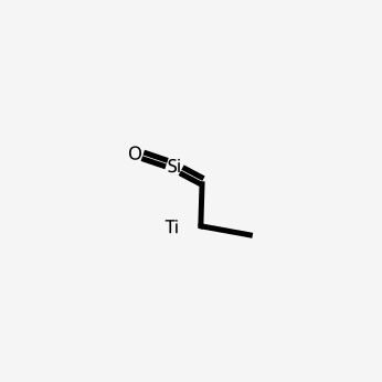 CCC=[Si]=O.[Ti]